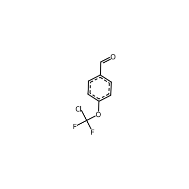 O=Cc1ccc(OC(F)(F)Cl)cc1